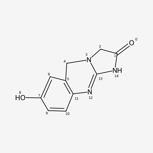 O=C1CN2Cc3cc(O)ccc3N=C2N1